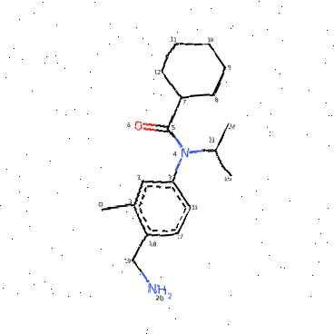 Cc1cc(N(C(=O)C2CCCCC2)C(C)C)ccc1CN